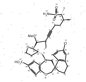 COC(C(F)C#CCC[C@H](C)[C@@H](C)S(N)(=O)=O)[C@@H]1OCC[C@H]1CN1C[C@@]2(CCCc3cc(Cl)ccc32)COc2ccc(C(=O)O)cc21